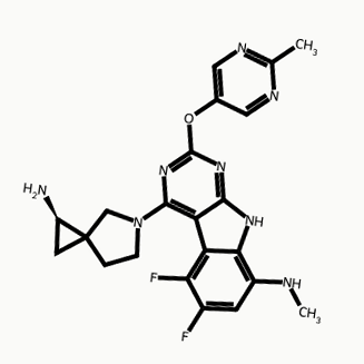 CNc1cc(F)c(F)c2c1[nH]c1nc(Oc3cnc(C)nc3)nc(N3CCC4(C[C@H]4N)C3)c12